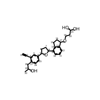 C#Cc1cc(C2CCC(c3cccc4c3CCC4OCCC(O)O)O2)ccc1CC(C)O